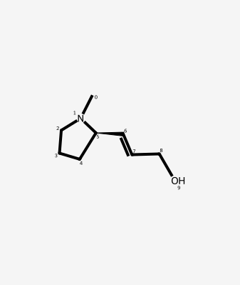 CN1CCC[C@@H]1/C=C/CO